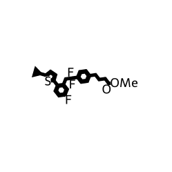 COC(=O)CCCc1ccc(C(F)(F)Cc2cc(F)ccc2-c2ccc(C3CC3)s2)cc1